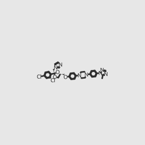 Cc1ncnn1-c1ccc(N2CCN(c3ccc(OC[C@@H]4CO[C@@](Cn5ccnc5)(c5ccc(Cl)cc5Cl)O4)cc3)CC2)cc1